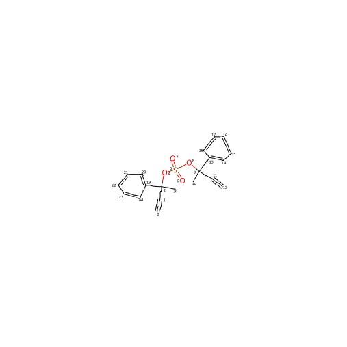 C#CC(C)(OS(=O)(=O)OC(C)(C#C)c1ccccc1)c1ccccc1